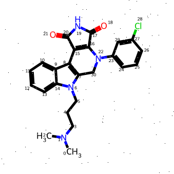 CN(C)CCCn1c2c(c3ccccc31)C1=C(C(=O)NC1=O)N(c1cccc(Cl)c1)C2